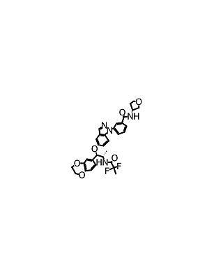 C[C@H](NC(=O)C(C)(F)F)[C@H](Oc1ccc2c(cnn2-c2cccc(C(=O)N[C@@H]3CCOC3)c2)c1)c1ccc2c(c1)OCCO2